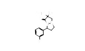 CCC1(C=O)CN2CCC(c3cccc(F)c3)N2C1=O